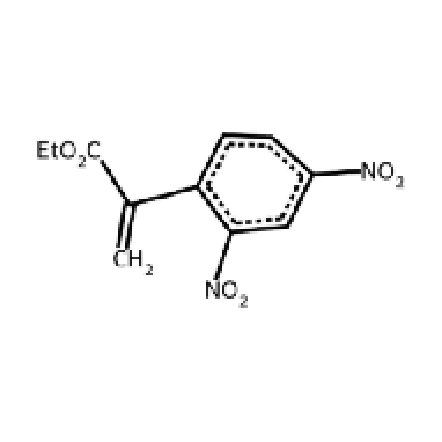 C=C(C(=O)OCC)c1ccc([N+](=O)[O-])cc1[N+](=O)[O-]